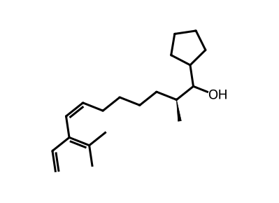 C=CC(/C=C\CCCC[C@H](C)C(O)C1CCCC1)=C(C)C